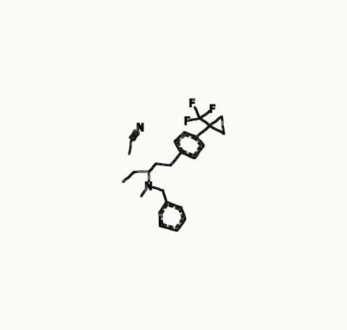 CC#N.CCC(CCc1ccc(C2(C(F)(F)F)CC2)cc1)N(C)Cc1ccccc1